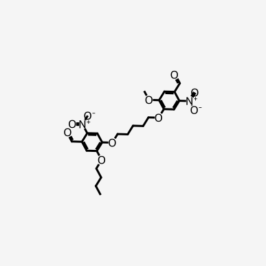 CCCCOc1cc(C=O)c([N+](=O)[O-])cc1OCCCCCOc1cc([N+](=O)[O-])c(C=O)cc1OC